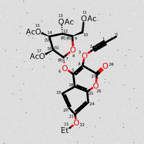 CC#COc1c(O[C@H]2O[C@H](COC(C)=O)[C@@H](OC(C)=O)[C@H](OC(C)=O)[C@@H]2OC(C)=O)c2ccc(OCC)cc2oc1=O